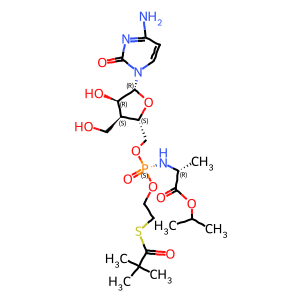 CC(C)OC(=O)[C@@H](C)N[P@@](=O)(OCCSC(=O)C(C)(C)C)OC[C@H]1O[C@@H](n2ccc(N)nc2=O)[C@H](O)[C@@H]1CO